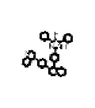 c1ccc(C2=NC(c3ccc(-c4c(-c5ccc(-c6ccnc7ccccc67)cc5)ccc5ccccc45)cc3)NC(c3ccccc3)N2)cc1